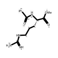 COC(=O)[C@H](CCCNC(=N)N)NC(=O)C(C)C